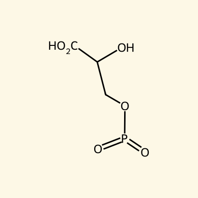 O=C(O)C(O)COP(=O)=O